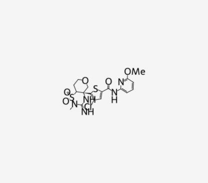 COc1cccc(NC(=O)c2cc(Cl)c([C@]34COCCC3S(=O)(=O)N(C)C(=N)N4)s2)n1